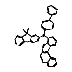 CC1(C)c2ccccc2-c2ccc(N(c3ccc(-c4ccccc4)cc3)c3cccc4c3sc3ccc5ccccc5c34)cc21